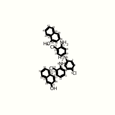 Nc1ccc(Cl)cc1.Nc1ccccc1Cl.Nc1ccccc1Cl.Oc1ccc2ccccc2c1.Oc1cccc2ccccc12